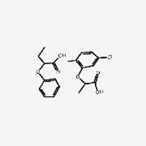 CCC(Oc1ccccc1)C(=O)O.Cc1ccc(Cl)cc1OC(C)C(=O)O